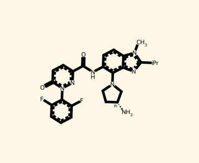 CC(C)c1nc2c(N3CC[C@@H](N)C3)c(NC(=O)c3ccc(=O)n(-c4c(F)cccc4F)n3)ccc2n1C